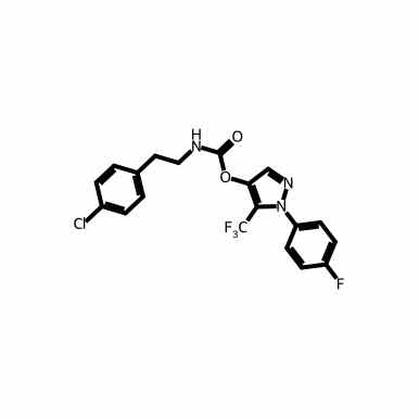 O=C(NCCc1ccc(Cl)cc1)Oc1cnn(-c2ccc(F)cc2)c1C(F)(F)F